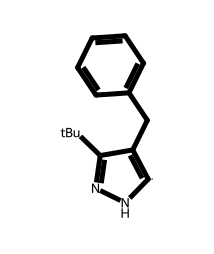 CC(C)(C)c1n[nH][c]c1Cc1ccccc1